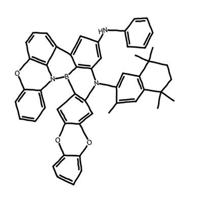 Cc1cc2c(cc1N1c3cc4c(cc3B3c5c(cc(Nc6ccccc6)cc51)-c1cccc5c1N3c1ccccc1O5)Oc1ccccc1O4)C(C)(C)CCC2(C)C